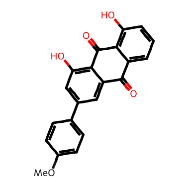 COc1ccc(-c2cc(O)c3c(c2)C(=O)c2cccc(O)c2C3=O)cc1